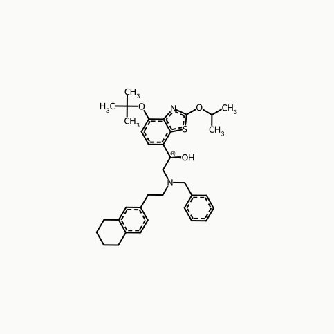 CC(C)Oc1nc2c(OC(C)(C)C)ccc([C@@H](O)CN(CCc3ccc4c(c3)CCCC4)Cc3ccccc3)c2s1